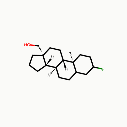 C[C@]12CCC(F)CC1CC[C@H]1[C@@H]3CCC[C@@]3(CO)CC[C@@H]12